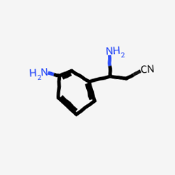 N#CCC(N)c1cccc(N)c1